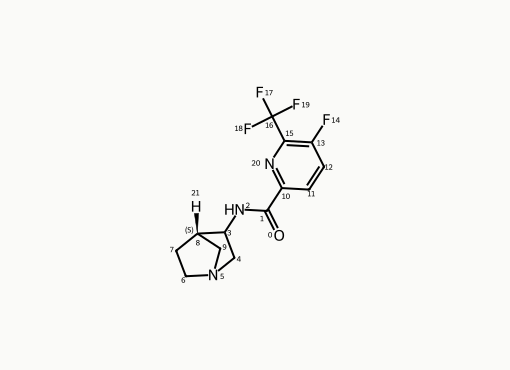 O=C(NC1CN2CC[C@H]1C2)c1ccc(F)c(C(F)(F)F)n1